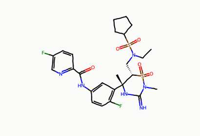 CCN(C[C@H]1[C@@](C)(c2cc(NC(=O)c3ccc(F)cn3)ccc2F)NC(=N)N(C)S1(=O)=O)S(=O)(=O)C1CCCC1